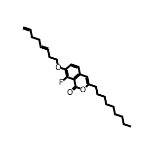 C=CCC/C=C/CCOc1ccc2cc(CCCCCCCCC)oc(=O)c2c1F